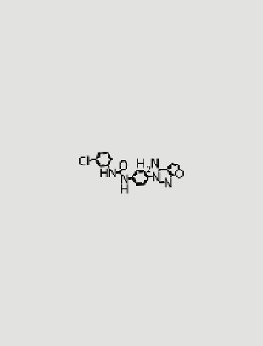 NC1c2ccoc2N=CN1c1ccc(NC(=O)Nc2cccc(Cl)c2)cc1